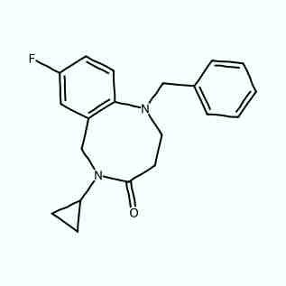 O=C1CCN(Cc2ccccc2)c2ccc(F)cc2CN1C1CC1